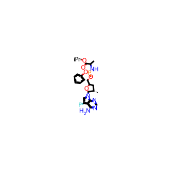 CC(C)OC(=O)C(C)N[P@](OCC1C[C@H](C)C(n2cc(F)c3c(N)ncnc32)O1)Oc1ccccc1